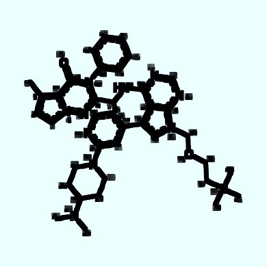 Cc1ccn2nc(C(C)Nc3ncnc4c3c(-c3ccnc(N5CCC(N(C)C)CC5)c3)cn4COCC[Si](C)(C)C)n(-c3ccccc3)c(=O)c12